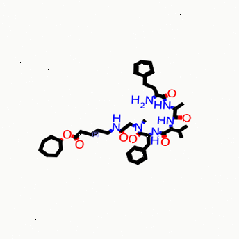 CC(NC(=O)C(N)CCc1ccccc1)C(=O)NC(C(=O)NC(Cc1ccccc1)C(=O)N(C)CC(=O)NC/C=C/CC(=O)OC1CCCCCC1)C(C)C